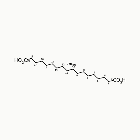 C=C.O=C(O)CCCCCCCCCCCCCCCCC(=O)O